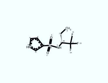 CC[C@@H](NS(=O)(=O)c1cc[nH]c1)C(F)(F)F